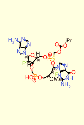 CO[C@@H]1COP(=O)(O)CO[C@H]2[C@@H](F)[C@H](n3cnc4c(N)ncnc43)O[C@@H]2COP(=O)(SCOC(=O)OC(C)C)O[C@@H](n2cnc3c(=O)[nH]c(N)nc32)[C@@H]1F